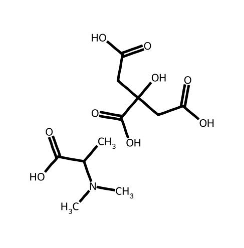 CC(C(=O)O)N(C)C.O=C(O)CC(O)(CC(=O)O)C(=O)O